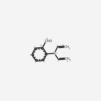 C=CN(C=C)c1ccccc1C=O